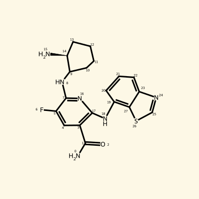 NC(=O)c1cc(F)c(NC2CCCC[C@@H]2N)nc1Nc1cccc2ncsc12